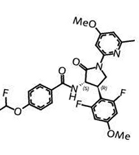 COc1cc(C)nc(N2C[C@@H](c3c(F)cc(OC)cc3F)[C@H](NC(=O)c3ccc(OC(F)F)cc3)C2=O)c1